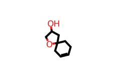 OC1COC2(CC=CCC2)C1